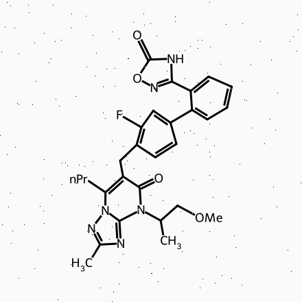 CCCc1c(Cc2ccc(-c3ccccc3-c3noc(=O)[nH]3)cc2F)c(=O)n(C(C)COC)c2nc(C)nn12